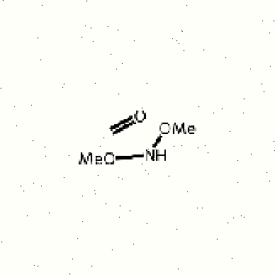 C=O.CONOC